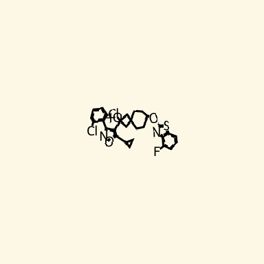 OC1(c2c(-c3c(Cl)cccc3Cl)noc2C2CC2)CC2(CCC(Oc3nc4c(F)cccc4s3)CC2)C1